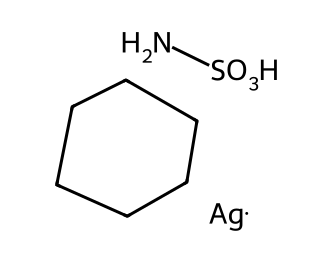 C1CCCCC1.NS(=O)(=O)O.[Ag]